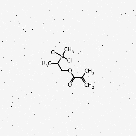 C=C(C)C(=O)OCC(C)[Si](C)(Cl)Cl